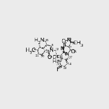 Cc1ccc(C(=O)N(CCCN)CC(C)Cc2nc3onc(C)c3c(=O)n2Cc2ccc(F)cc2)cc1